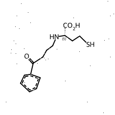 O=C(CCCN[C@@H](CCS)C(=O)O)c1ccccc1